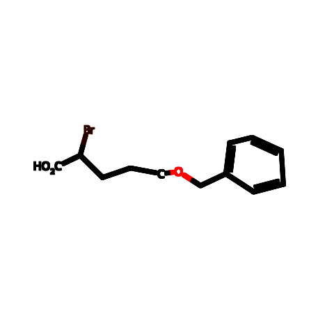 O=C(O)C(Br)CCCOCc1ccccc1